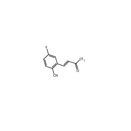 N#Cc1ccc(F)cc1/C=C/C(=O)C(F)(F)F